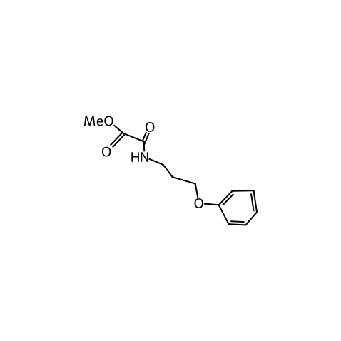 COC(=O)C(=O)NCCCOc1ccccc1